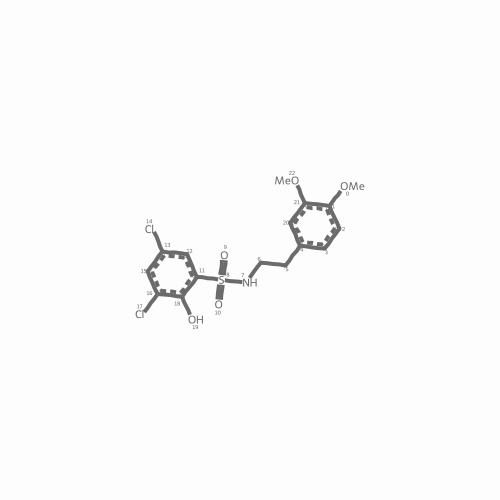 COc1ccc(CCNS(=O)(=O)c2cc(Cl)cc(Cl)c2O)cc1OC